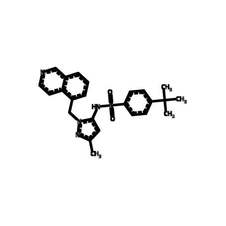 Cc1cc(NS(=O)(=O)c2ccc(C(C)(C)C)cc2)n(Cc2cccc3cnccc23)n1